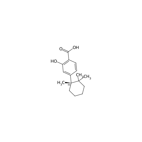 CC1(C)CCCC[C@]1(C)c1ccc(C(=O)O)c(O)c1